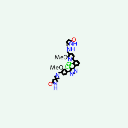 COc1cc(-c2ncnc(-c3cccc(-c4ccc(CNC[C@@H]5CCC(=O)N5)c(OC)n4)c3Cl)c2Cl)ccc1CN1CC2(CNC(=O)C2)C1